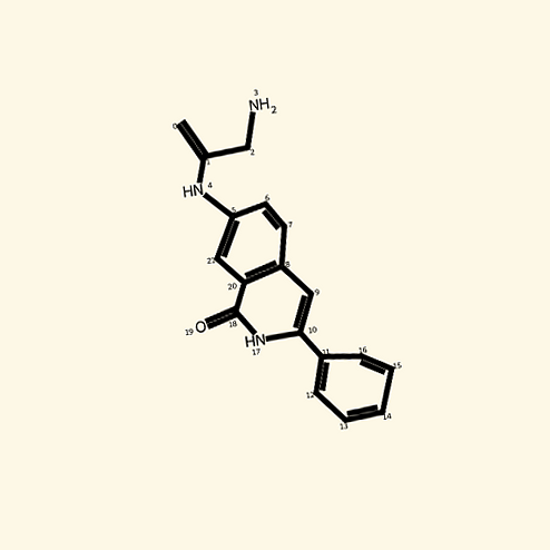 C=C(CN)Nc1ccc2cc(-c3ccccc3)[nH]c(=O)c2c1